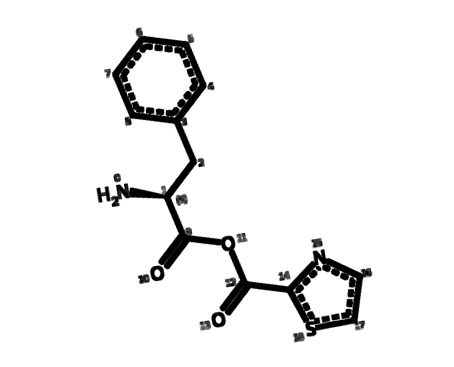 N[C@@H](Cc1ccccc1)C(=O)OC(=O)c1nccs1